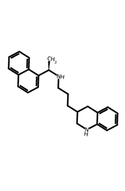 C[C@@H](NCCCC1CNc2ccccc2C1)c1cccc2ccccc12